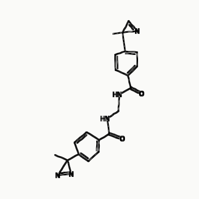 CC1(c2ccc(C(=O)NCNC(=O)c3ccc(C4(C)N=N4)cc3)cc2)C=N1